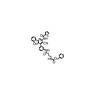 N#Cc1c(-c2cccc(NC(=O)CCCNC(=O)OCc3ccccc3)c2)cc(-c2ccccc2O)nc1NC(=O)c1cccs1